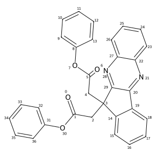 O=C(CC1(CC(=O)Oc2ccccc2)c2ccccc2-c2nc3ccccc3nc21)Oc1ccccc1